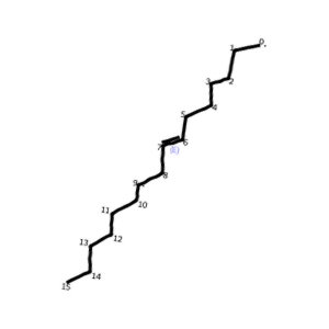 [CH2]CCCCC/C=C/C[CH]CCCCCC